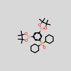 CC1(C)OB(c2cc(B3OC(C)(C)C(C)(C)O3)cc(P(=O)(C3CCCCC3)C3CCCCC3)c2)OC1(C)C